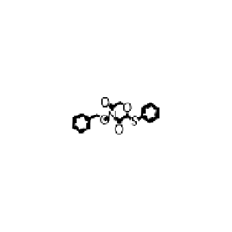 O=C1COC(Sc2ccccc2)C(=O)N1OCc1ccccc1